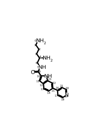 NCCC[C@@H](N)CNC(=O)c1cc2ccc(-c3ccncc3)cc2[nH]1